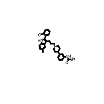 Cc1ccc2[nH]c(-c3ccccc3Cl)c(CCCN3CCC(c4cccc(NC(=O)C(C)C)c4)CC3)c2c1